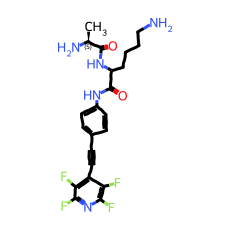 C[C@H](N)C(=O)NC(CCCCN)C(=O)Nc1ccc(C#Cc2c(F)c(F)nc(F)c2F)cc1